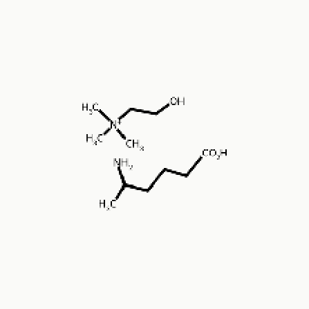 CC(N)CCCC(=O)O.C[N+](C)(C)CCO